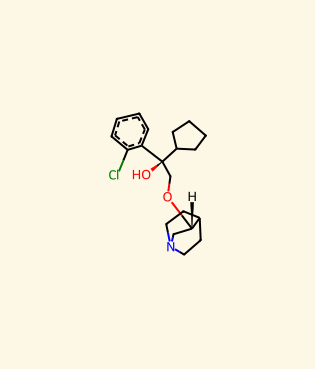 O[C@@](CO[C@H]1CN2CCC1CC2)(c1ccccc1Cl)C1CCCC1